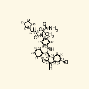 CC(C)(C(N)=O)N(C(=O)CCN1CCCC1)c1ccc(NC(=C2C(=O)Nc3cc(Cl)ccc32)c2ccccc2)cc1